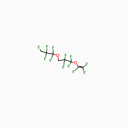 FCC(F)(F)C(F)(F)OCC(F)(F)C(F)(F)OC(F)=C(F)F